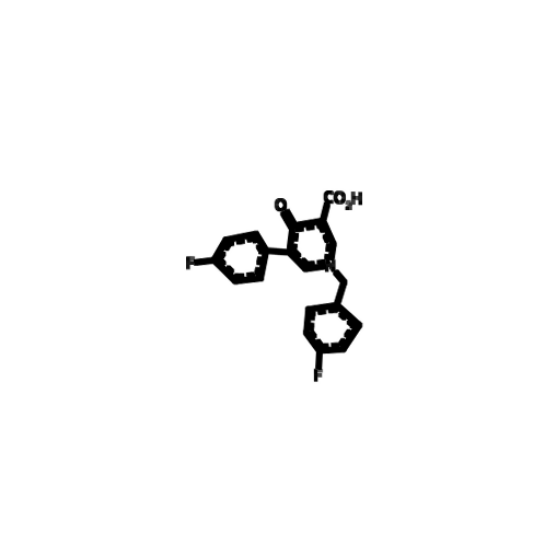 O=C(O)c1cn(Cc2ccc(F)cc2)cc(-c2ccc(F)cc2)c1=O